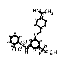 CC(=N)N1CCC(COc2cc(NS(=O)(=O)c3ccccc3Cl)cc(C(F)(F)F)c2)CC1.Cl